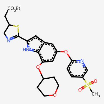 CCOC(=O)CC1CN=C(c2cc3cc(Oc4ccc(S(C)(=O)=O)cn4)cc(OC4CCOCC4)c3[nH]2)S1